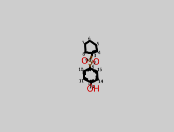 O=S(=O)(C1=CCCCC1)c1ccc(O)cc1